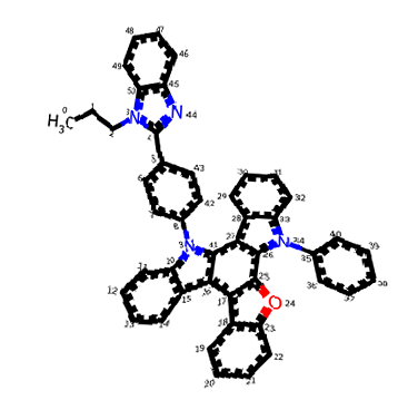 CCCn1c(-c2ccc(-n3c4ccccc4c4c5c6ccccc6oc5c5c(c6ccccc6n5-c5ccccc5)c43)cc2)nc2ccccc21